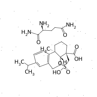 CC(C)c1ccc2c(c1)CC[C@H]1[C@@](CS(=O)(=O)O)(C(=O)O)CCC[C@]21C.NC(=O)CC[C@H](N)C(N)=O